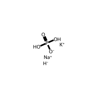 O=P([O-])(O)O.[H-].[K+].[Na+]